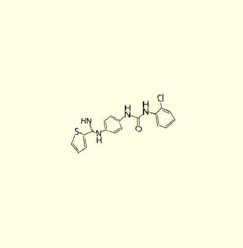 N=C(Nc1ccc(NC(=O)Nc2ccccc2Cl)cc1)c1cccs1